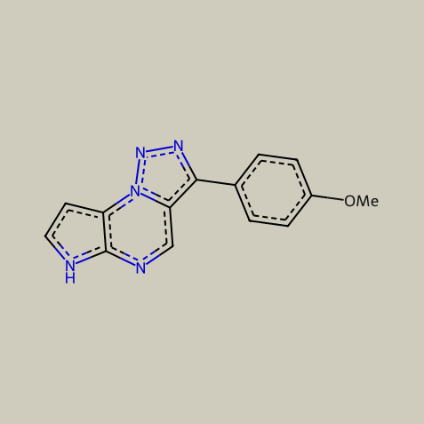 COc1ccc(-c2nnn3c2cnc2[nH]ccc23)cc1